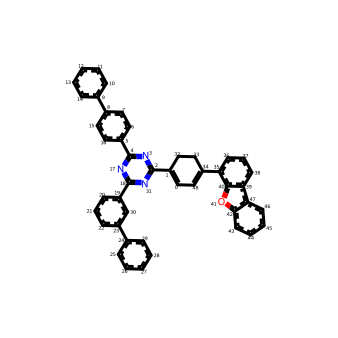 C1=C(c2nc(-c3ccc(-c4ccccc4)cc3)nc(-c3cccc(-c4ccccc4)c3)n2)CCC(c2cccc3c2oc2ccccc23)=C1